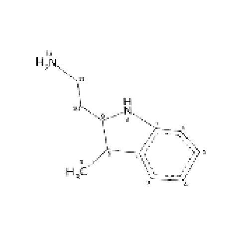 CC1c2ccccc2NC1CCN